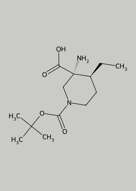 CC[C@H]1CCN(C(=O)OC(C)(C)C)C[C@@]1(N)C(=O)O